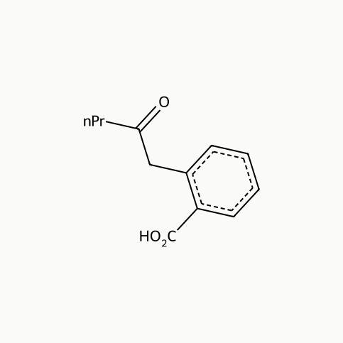 CCCC(=O)Cc1ccccc1C(=O)O